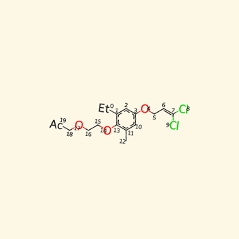 CCc1cc(OCC=C(Cl)Cl)cc(C)c1OCCOCC(C)=O